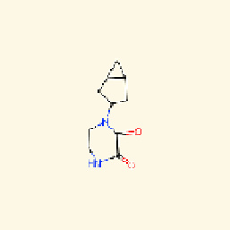 O=C1NCCN(C2CC3CC3C2)C1=O